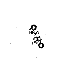 Cc1ccccc1NC(=O)Oc1cnn(-c2ccccc2)c1C(F)(F)F